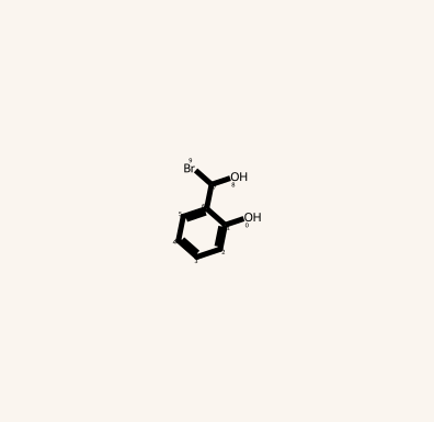 Oc1ccccc1C(O)Br